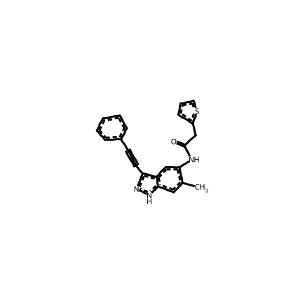 Cc1cc2[nH]nc(C#Cc3ccccc3)c2cc1NC(=O)Cc1cccs1